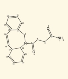 NC(=O)CCC(=O)N1Cc2ccccc2/C=C\C2C=CC=CC21